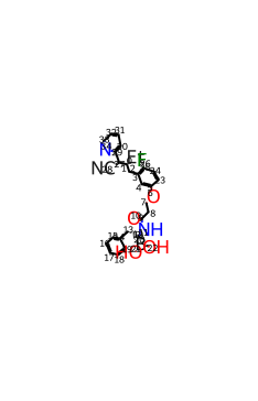 CCC(Cc1cc(OCCC(=O)N[C@@H](Cc2ccccc2)B(O)O)ccc1F)C(C#N)c1ccccn1